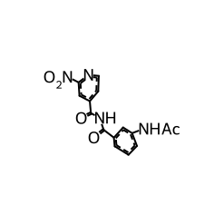 CC(=O)Nc1cccc(C(=O)NC(=O)c2ccnc([N+](=O)[O-])c2)c1